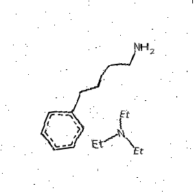 CCN(CC)CC.NCCCCc1ccccc1